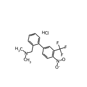 CN(C)Cc1ccccc1-c1ccc([N+](=O)[O-])c(C(F)(F)F)c1.Cl